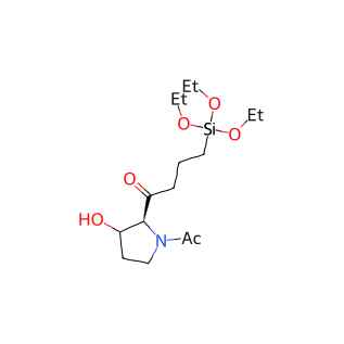 CCO[Si](CCCC(=O)[C@@H]1C(O)CCN1C(C)=O)(OCC)OCC